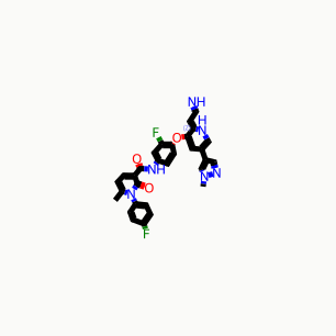 Cc1ccc(C(=O)Nc2ccc(OC3=CC(c4cnn(C)c4)=CN/C3=C\C=N)c(F)c2)c(=O)n1-c1ccc(F)cc1